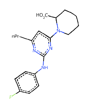 CCCc1cc(N2CCCCC2C(=O)O)nc(Nc2ccc(F)cc2)n1